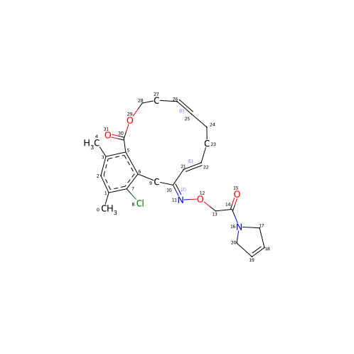 Cc1cc(C)c2c(c1Cl)CC(=N/OCC(=O)N1CC=CC1)/C=C/CC/C=C/CCOC2=O